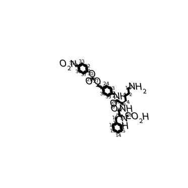 NCCCC[C@@H](NC(=O)[C@H](Cc1ccccc1)NC(=O)O)C(=O)Nc1ccc(COC(=O)Oc2ccc([N+](=O)[O-])cc2)cc1